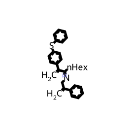 C=C(C/N=C(/CCCCCC)C(=C)c1ccc(Sc2ccccc2)cc1)c1ccccc1